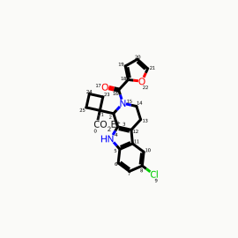 CCOC(=O)C1(C2c3[nH]c4ccc(Cl)cc4c3CCN2C(=O)c2ccco2)CCC1